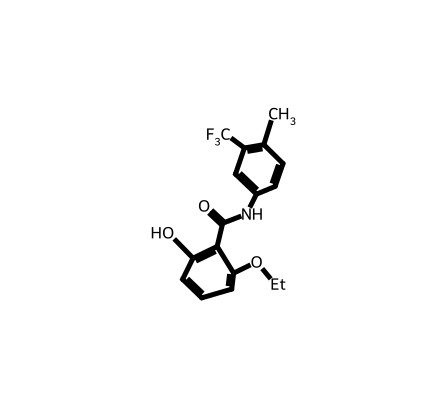 CCOc1cccc(O)c1C(=O)Nc1ccc(C)c(C(F)(F)F)c1